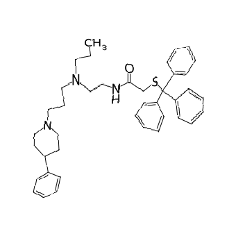 CCCN(CCCN1CCC(c2ccccc2)CC1)CCNC(=O)CSC(c1ccccc1)(c1ccccc1)c1ccccc1